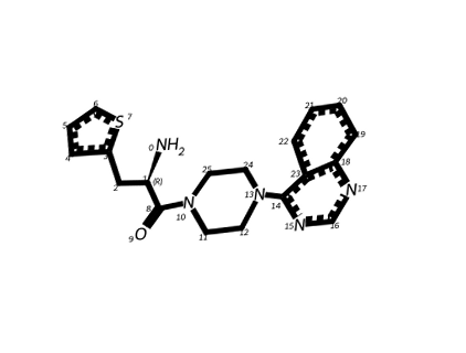 N[C@H](Cc1cccs1)C(=O)N1CCN(c2ncnc3ccccc23)CC1